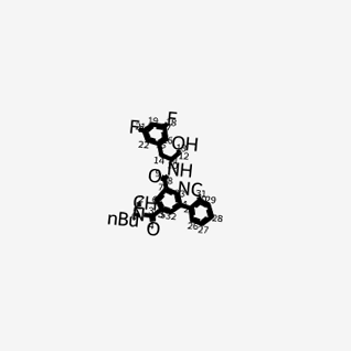 CCCCN(C)C(=O)c1cc(C(=O)NC(CO)Cc2cc(F)cc(F)c2)cc(-c2ccccc2C#N)c1